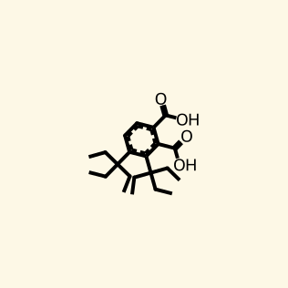 CCC(CC)(CC)c1ccc(C(=O)O)c(C(=O)O)c1C(CC)(CC)CC